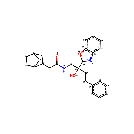 O=C(CC1CC2CCC1C2)NCC(O)(CCc1ccccc1)c1nc2ccccc2o1